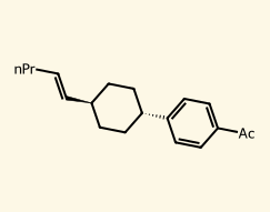 CCCC=C[C@H]1CC[C@H](c2ccc(C(C)=O)cc2)CC1